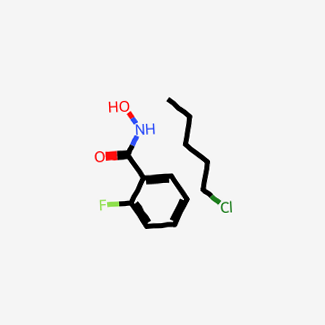 CCCCCCl.O=C(NO)c1ccccc1F